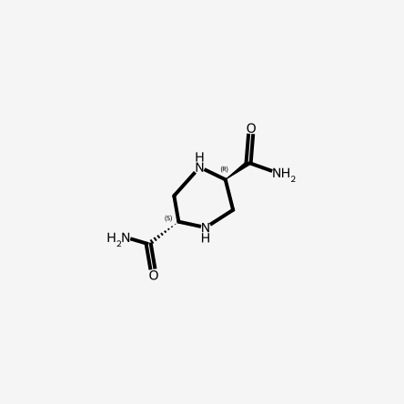 NC(=O)[C@@H]1CN[C@@H](C(N)=O)CN1